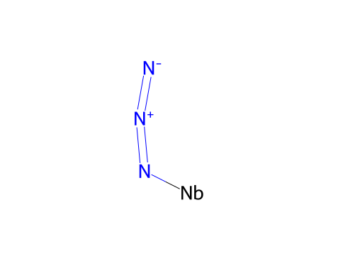 [N-]=[N+]=[N][Nb]